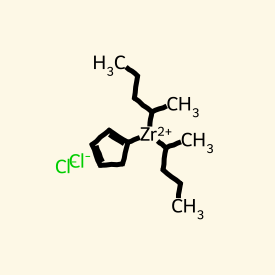 CCC[CH](C)[Zr+2]([C]1=CC=CC1)[CH](C)CCC.[Cl-].[Cl-]